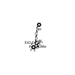 CCOC(=O)C1=C(COCCOCCNCc2ccccc2)NC(C)=C(C(=O)OC)[C@H]1c1c(F)c(F)c(F)c(F)c1F